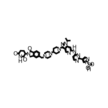 CC(C)n1nc(N2CCC(N3CCN(Cc4ccc5c(c4)CN(C4CCC(=O)NC4=O)C5=O)CC3)CC2)c2cnc(Nc3ccnc(-c4cnn([SH](=O)=O)c4)n3)cc21